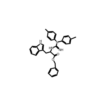 Cc1ccc(N(C(=N)NC(Cc2c[nH]c3ccccc23)C(=O)OCc2ccccc2)c2ccc(C)cc2)cc1